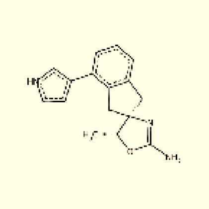 C[C@H]1OC(N)=N[C@@]12Cc1cccc(-c3cc[nH]c3)c1C2